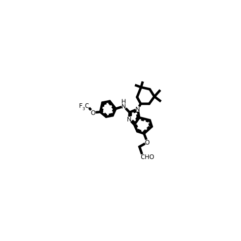 CC1(C)CC(n2c(Nc3ccc(OC(F)(F)F)cc3)nc3cc(OCC=O)ccc32)CC(C)(C)C1